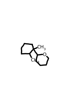 CC1CCCCC1(C)C1CCCCO1